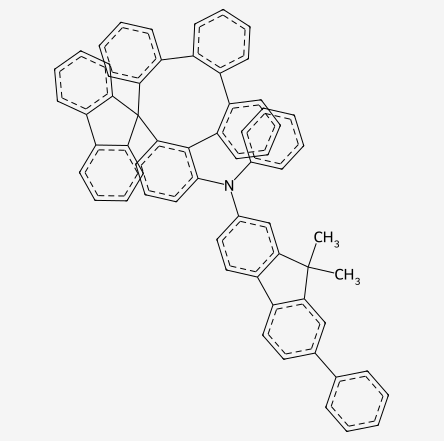 CC1(C)c2cc(-c3ccccc3)ccc2-c2ccc(N(c3ccccc3)c3cccc4c3-c3ccccc3-c3ccccc3-c3ccccc3C43c4ccccc4-c4ccccc43)cc21